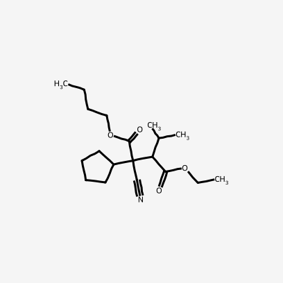 CCCCOC(=O)C(C#N)(C1CCCC1)C(C(=O)OCC)C(C)C